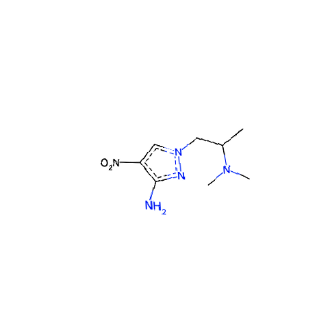 CC(Cn1cc([N+](=O)[O-])c(N)n1)N(C)C